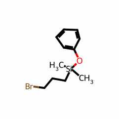 C[Si](C)(CCCBr)Oc1ccccc1